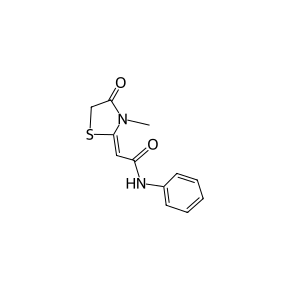 CN1C(=O)CSC1=CC(=O)Nc1ccccc1